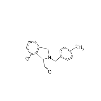 Cc1ccc(CN2Cc3cccc(Cl)c3C2C=O)cc1